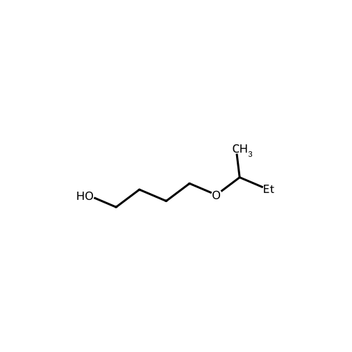 [CH2]CC(C)OCCCCO